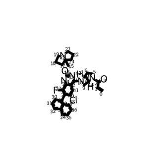 C=CC(=O)N1CC[C@H]2[C@H]1CN2c1nc(OCC23CCCN2CCC3)nc2c(F)c(-c3cccc4cccc(Cl)c34)ccc12